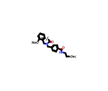 CCCCCCCCCCCCNC(=O)c1ccc(CN(Cc2ccccc2OC)C(=O)C(=O)O)cc1